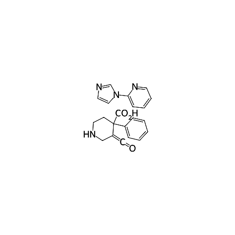 O=C=C1CNCCC1(C(=O)O)c1ccccc1.c1ccc(-n2ccnc2)nc1